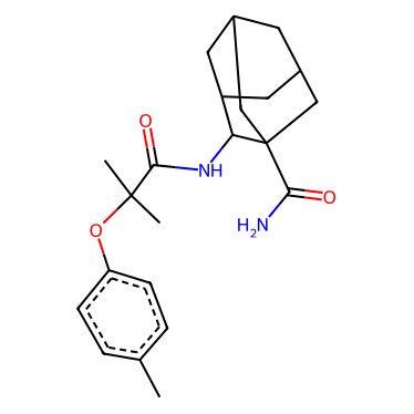 Cc1ccc(OC(C)(C)C(=O)NC2C3CC4CC(C3)CC2(C(N)=O)C4)cc1